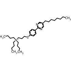 CCCCCCCCc1cnc(-c2ccc(SCCC[N+](CCCC)(CCCC)CCCC)cc2)nc1